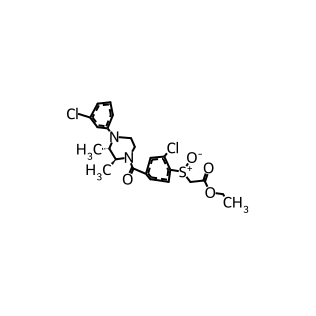 CCOC(=O)C[S+]([O-])c1ccc(C(=O)N2CCN(c3cccc(Cl)c3)[C@@H](C)[C@@H]2C)cc1Cl